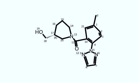 Cc1ccc(-n2nccn2)c(C(=O)N2CCC[C@@H](CO)C2)c1